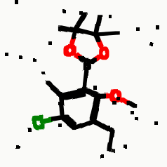 [CH2]Cc1cc(Cl)c(C)c(B2OC(C)(C)C(C)(C)O2)c1OC